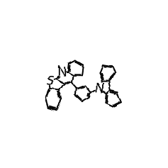 c1cc(-c2c3ccccc3nc3sc4ccccc4c23)cc(-n2c3ccccc3c3ccccc32)c1